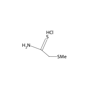 CSCC(N)=S.Cl